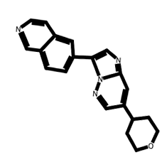 c1cc2cc(-c3cnc4cc(C5CCOCC5)cnn34)ccc2cn1